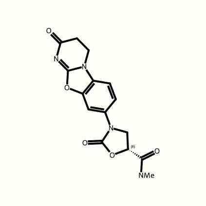 CNC(=O)[C@H]1CN(c2ccc3c(c2)OC2=NC(=O)CCN23)C(=O)O1